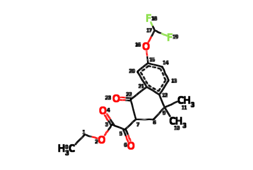 CCOC(=O)C(=O)C1CC(C)(C)c2ccc(OC(F)F)cc2C1=O